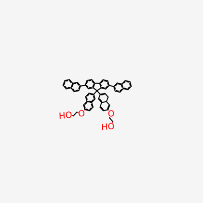 OCCOC1=CC2CC=C(C3(c4ccc5cc(OCCO)ccc5c4)c4cc(-c5ccc6ccccc6c5)ccc4-c4ccc(-c5ccc6ccccc6c5)cc43)C=C2C=C1